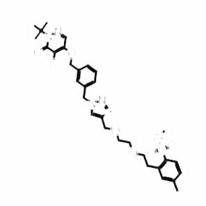 COS(=O)(=O)c1ccc(C)cc1CCOCCOCc1cn(Cc2cccc(COc3cnn(C(C)(C)C)c(=O)c3Cl)c2)nn1